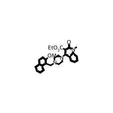 CCOC(=O)c1c(N2CCN(Cc3c(OC)ccc4ccccc34)CC2)c2ccccc2n(C)c1=O